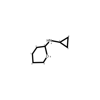 C1CCC(N[C]2CC2)OC1